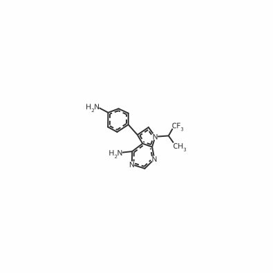 CC(n1cc(-c2ccc(N)cc2)c2c(N)ncnc21)C(F)(F)F